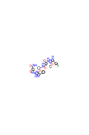 CNC(=O)c1ccc(Nc2nc(OC3CCCC3CNC(=O)c3ccc(Nc4nc(OC5CCCC5)c5c(-c6ccc(F)cc6)c[nH]c5n4)c(OC)c3)c3c(-c4ccccc4)c[nH]c3n2)c(OC)c1